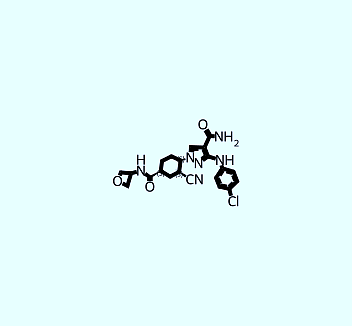 N#C[C@H]1C[C@@H](C(=O)NC2COC2)CC[C@@H]1n1cc(C(N)=O)c(Nc2ccc(Cl)cc2)n1